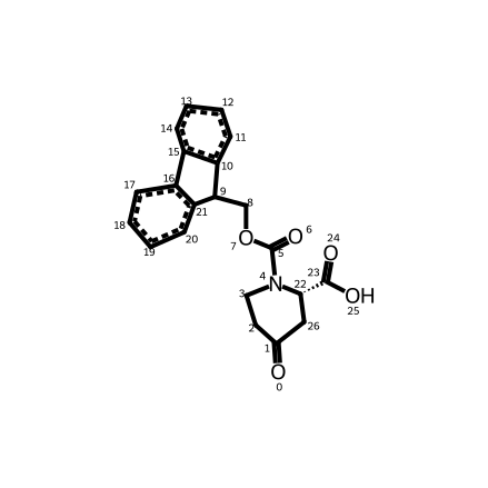 O=C1CCN(C(=O)OCC2c3ccccc3-c3ccccc32)[C@H](C(=O)O)C1